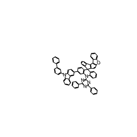 c1ccc(-c2cccc(-n3c4ccccc4c4cc(-c5ccc6c(c5)N(c5nc(-c7ccccc7)nc(-c7ccccc7)n5)c5ccccc5C65c6ccccc6-c6c5ccc5oc7ccccc7c65)ccc43)c2)cc1